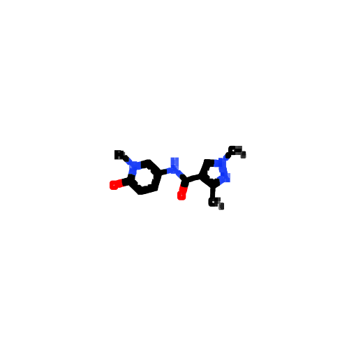 CCn1cc(NC(=O)c2cn(C)nc2C(F)(F)F)ccc1=O